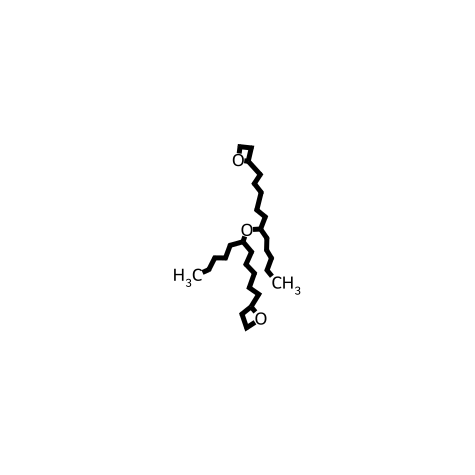 CCCCCC(CCCCCC1CCO1)OC(CCCCC)CCCCCC1CCO1